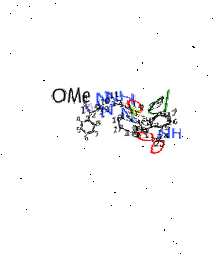 CO/C=C(/c1ccccc1)c1n[nH]c(C(=O)N2CCC[C@@]3(C2)OC(=O)Nc2ccc(Cl)c(F)c23)n1